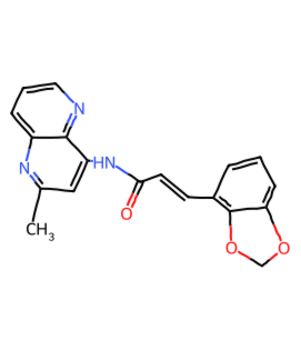 Cc1cc(NC(=O)/C=C/c2cccc3c2OCO3)c2ncccc2n1